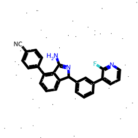 N#Cc1ccc(-c2cccc3c2C(N)=NC3c2cccc(-c3cccnc3F)c2)cc1